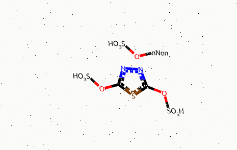 CCCCCCCCCOS(=O)(=O)O.O=S(=O)(O)Oc1nnc(OS(=O)(=O)O)s1